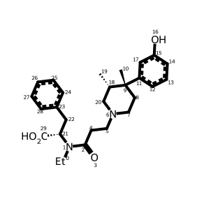 CCN(C(=O)CCN1CC[C@@](C)(c2cccc(O)c2)[C@@H](C)C1)[C@@H](Cc1ccccc1)C(=O)O